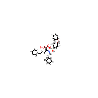 O=C(O)C(CCCc1ccccc1)N(CCc1ccccc1)S(=O)(=O)c1ccc2oc3ccccc3c2c1